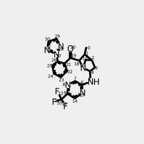 CC1C2CC(Nc3cnc(C(F)(F)F)cn3)N(C2)C1C(=O)c1ccccc1-n1nccn1